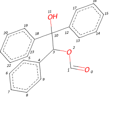 O=[C]OC(c1ccccc1)C(O)(c1ccccc1)c1ccccc1